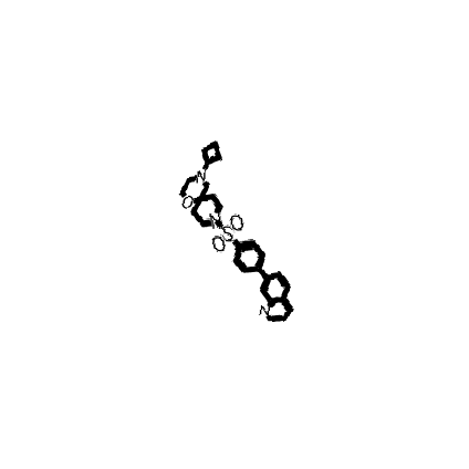 O=S(=O)(c1ccc(-c2ccc3cccnc3c2)cc1)N1CCC2(CC1)CN(C1CCC1)CCO2